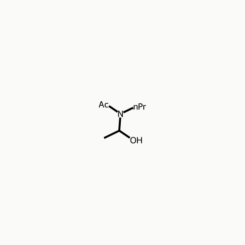 CCCN(C(C)=O)C(C)O